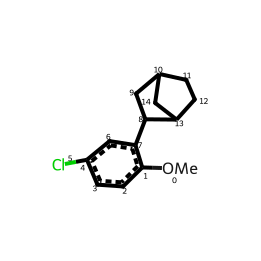 COc1ccc(Cl)cc1C1CC2CCC1C2